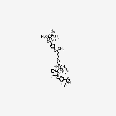 Cc1ncsc1-c1ccc(CNC(=O)[C@@H]2CCCN2C(=O)[C@@H](NC(=O)COCCCC[C@@H](C)Oc2ccc(C(=O)NC3C(C)(C)CC3(C)C)cc2)C(C)(C)C)cc1